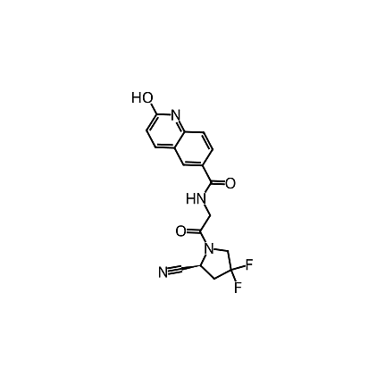 N#C[C@@H]1CC(F)(F)CN1C(=O)CNC(=O)c1ccc2nc(O)ccc2c1